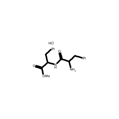 COC(=O)C(CC(C)C)NC(=O)C(N)CC(C)C.Cl